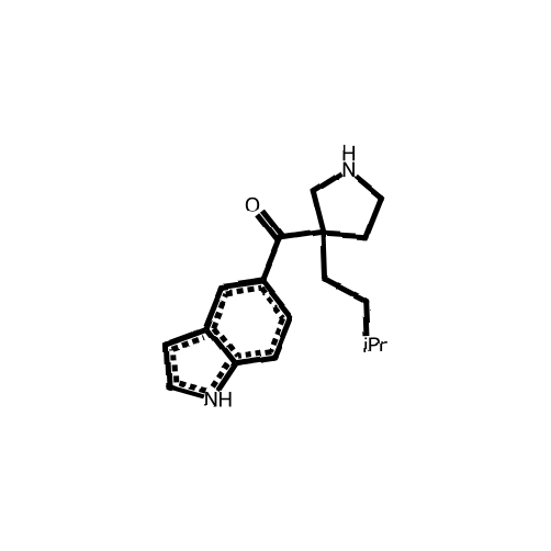 CC(C)CCC1(C(=O)c2ccc3[nH]ccc3c2)CCNC1